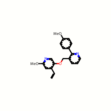 C=Cc1cc(OC)ncc1OCc1cccnc1-c1ccc(OC)cc1